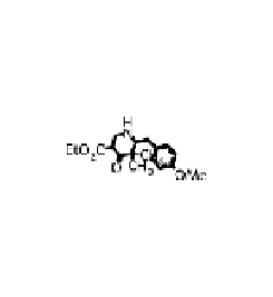 CCOC(=O)C1CNC(Cc2ccc(OC)cc2)C(C)(C)C1=O